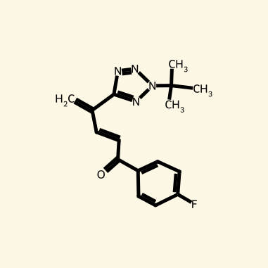 C=C(C=CC(=O)c1ccc(F)cc1)c1nnn(C(C)(C)C)n1